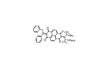 CCCCCC(C)N(C(C)CCCC)N1C(=O)c2ccc3c4c(ccc(c24)C1=O)C(=O)N(N(Cc1ccccc1)c1ccccc1)C3=O